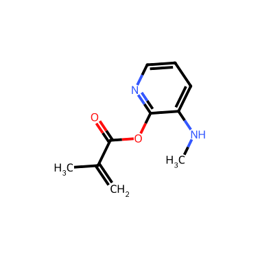 C=C(C)C(=O)Oc1ncccc1NC